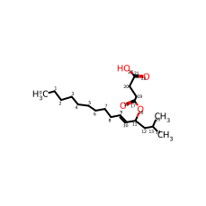 CCCCCCCCCC=CC(CC(C)C)OC(=O)CCC(=O)O